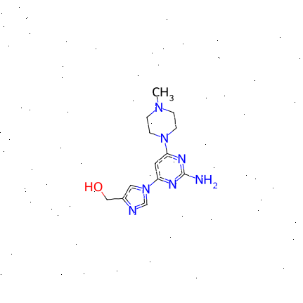 CN1CCN(c2cc(-n3cnc(CO)c3)nc(N)n2)CC1